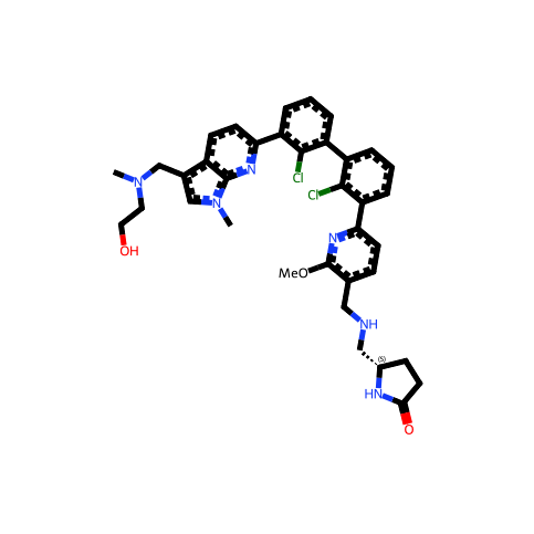 COc1nc(-c2cccc(-c3cccc(-c4ccc5c(CN(C)CCO)cn(C)c5n4)c3Cl)c2Cl)ccc1CNC[C@@H]1CCC(=O)N1